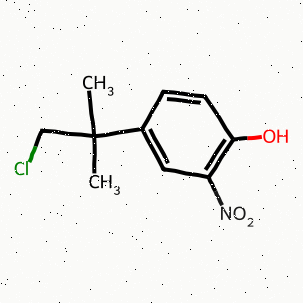 CC(C)(CCl)c1ccc(O)c([N+](=O)[O-])c1